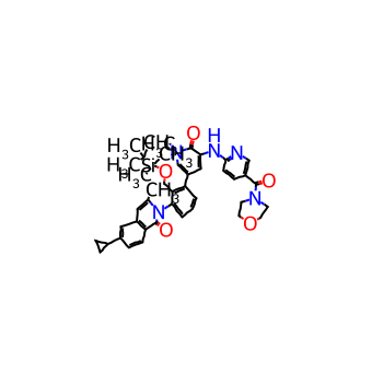 Cc1cc2cc(C3CC3)ccc2c(=O)n1-c1cccc(-c2cc(Nc3ccc(C(=O)N4CCOCC4)cn3)c(=O)n(C)c2)c1CO[Si](C)(C)C(C)(C)C